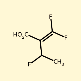 CC(F)C(C(=O)O)=C(F)F